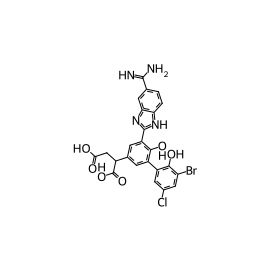 N=C(N)c1ccc2[nH]c(-c3cc(C(CC(=O)O)C(=O)O)cc(-c4cc(Cl)cc(Br)c4O)c3O)nc2c1